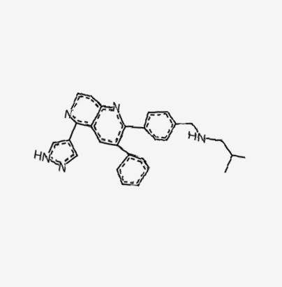 CC(C)CNCc1ccc(-c2nc3ccnc(-c4cn[nH]c4)c3cc2-c2ccccc2)cc1